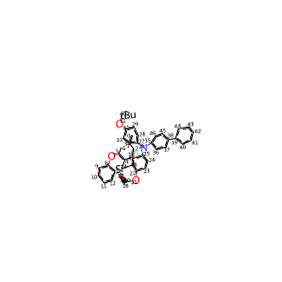 C=C/C=C\C1=C(C)Oc2ccccc2[Si]12c1ccccc1Oc1ccc(N(c3ccc(OC(C)(C)C)cc3)c3ccc(-c4ccccc4)cc3)cc12